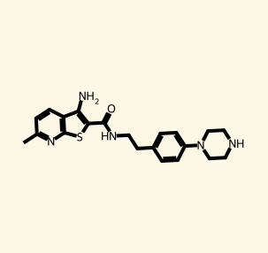 Cc1ccc2c(N)c(C(=O)NCCc3ccc(N4CCNCC4)cc3)sc2n1